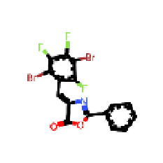 O=C1OC(c2ccccc2)=N/C1=C\c1c(F)c(Br)c(F)c(F)c1Br